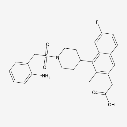 Cc1c(CC(=O)O)cc2ccc(F)cc2c1C1CCN(S(=O)(=O)Cc2ccccc2N)CC1